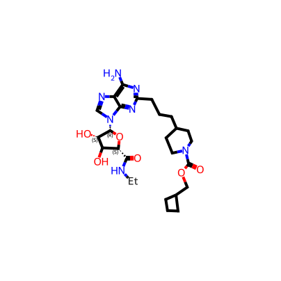 CCNC(=O)[C@H]1O[C@@H](n2cnc3c(N)nc(CCCC4CCN(C(=O)OCC5CCC5)CC4)nc32)[C@@H](O)C1O